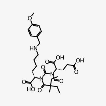 CCC(C)(CC)C(=O)N(C(=O)N(C=O)[C@@H](CCC(=O)O)C(=O)O)[C@@H](CCCCNCc1ccc(OC)cc1)C(=O)O